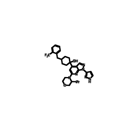 CC(C)C1COCCN1c1cc(C2(O)CCC(Cc3ccccc3C(F)(F)F)CC2)c2cnn(-c3cc[nH]n3)c2n1